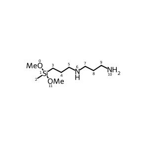 CO[Si](C)(CCCNCCCN)OC